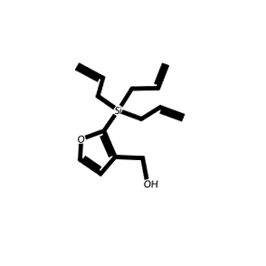 C=CC[Si](CC=C)(CC=C)c1occc1CO